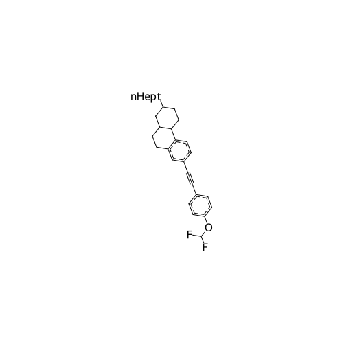 CCCCCCCC1CCC2c3ccc(C#Cc4ccc(OC(F)F)cc4)cc3CCC2C1